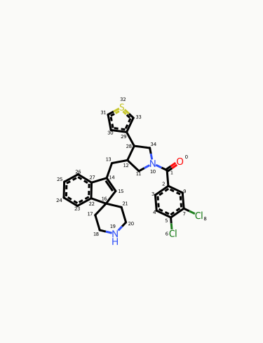 O=C(c1ccc(Cl)c(Cl)c1)N1CC(CC2=CC3(CCNCC3)c3ccccc32)C(c2ccsc2)C1